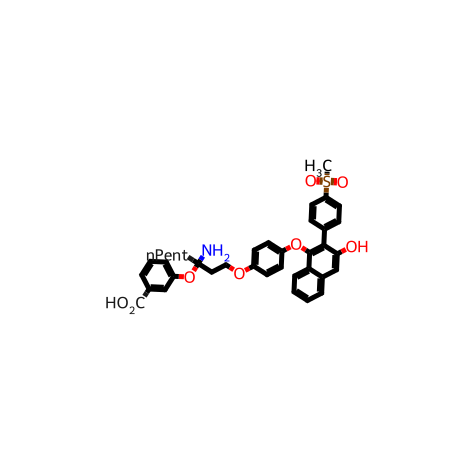 CCCCCC(N)(CCOc1ccc(Oc2c(-c3ccc(S(C)(=O)=O)cc3)c(O)cc3ccccc23)cc1)Oc1cccc(C(=O)O)c1